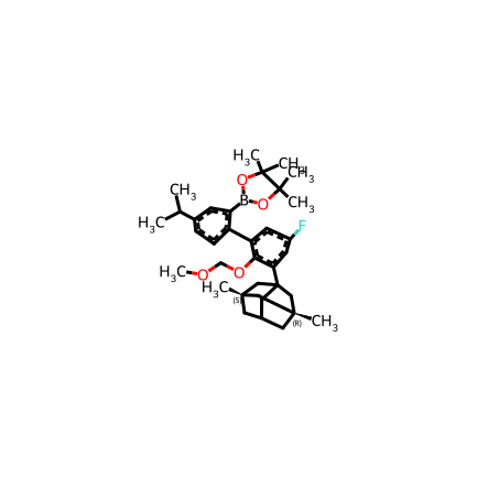 COCOc1c(-c2ccc(C(C)C)cc2B2OC(C)(C)C(C)(C)O2)cc(F)cc1C12CC3C[C@@](C)(C1)C[C@](C)(C3)C2